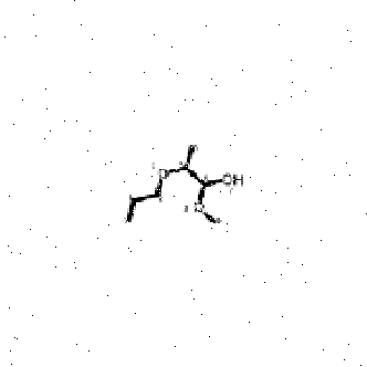 CCCOC(C)C(O)OC